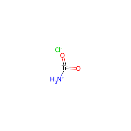 [Cl-].[NH3+][Ti](=[O])=[O]